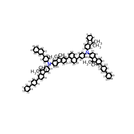 CC1(C)c2ccccc2-c2ccc(N(c3ccc(-c4cccc5c(-c6ccc7c(c6)C(C)(C)c6cc(N(c8ccc(-c9ccc%10ccccc%10c9)cc8)c8ccc9c(c8)C(C)(C)c8cc(-c%10ccc(-c%11ccccc%11)cc%10)ccc8-9)ccc6-7)cccc45)cc3)c3ccc4c(c3)C(C)(C)c3cc(-c5ccc(-c6ccccc6)cc5)ccc3-4)cc21